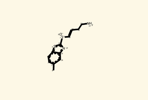 Cc1ccc2sc([S+]([O-])/C=C/CCN)nc2c1